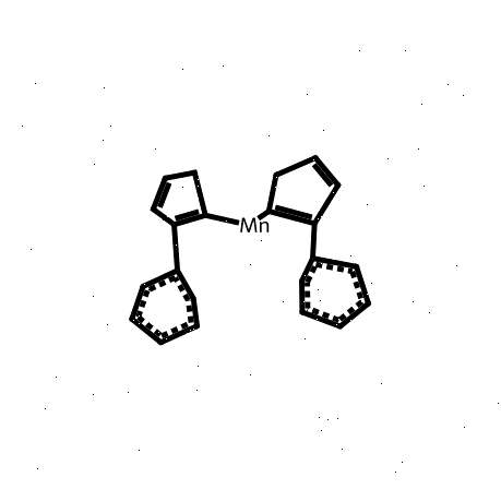 C1=CC(c2ccccc2)=[C]([Mn][C]2=C(c3ccccc3)C=CC2)C1